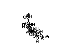 CCCC(=O)NCCCC[C@H](NC(=O)CC[C@H](C(N)=O)N(CC(C)O[C@H]1[C@H](O)[C@@H](COC(=O)CCC)O[C@H](O)[C@@H]1NC(C)=O)C(=O)[C@H](C)N)C(=O)Oc1cccnc1